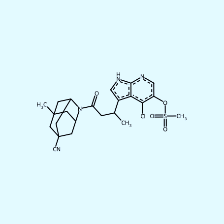 CC(CC(=O)N1C2CC3(C)CC1CC(C#N)(C2)C3)c1c[nH]c2ncc(OS(C)(=O)=O)c(Cl)c12